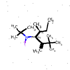 C=C([C@H]([C@@H](C)CC)N(I)C(C)(C)C)C(C)(C)C